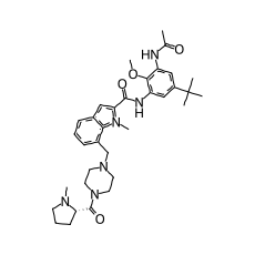 COc1c(NC(C)=O)cc(C(C)(C)C)cc1NC(=O)c1cc2cccc(CN3CCN(C(=O)[C@@H]4CCCN4C)CC3)c2n1C